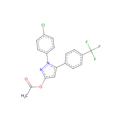 CC(=O)Oc1cc(-c2ccc(C(F)(F)F)cc2)n(-c2ccc(Cl)cc2)n1